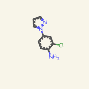 Nc1ccc(-n2cccn2)cc1Cl